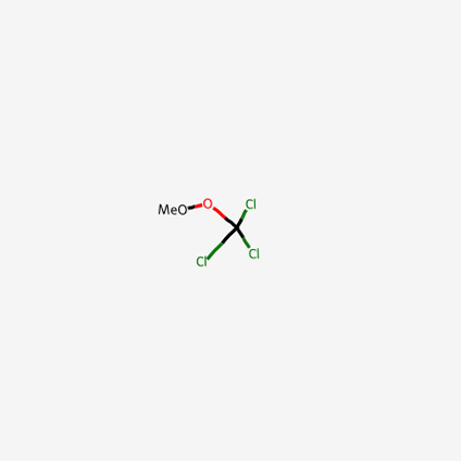 COOC(Cl)(Cl)Cl